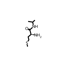 CSCC[C@H](N)C(=O)NC(C)C